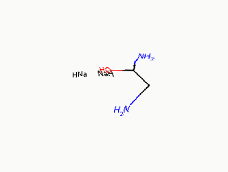 NCC(N)O.[NaH].[NaH]